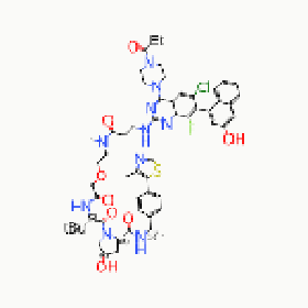 CCC(=O)N1CCN(C2=NC(NCCC(=O)N(C)CCOCC(=O)N[C@H](C(=O)N3C[C@H](O)C[C@H]3C(=O)N[C@@H](C)c3ccc(-c4scnc4C)cc3)C(C)(C)C)=NC3C(F)=C(c4cc(O)cc5ccccc45)C(Cl)=CC23)CC1